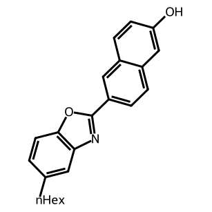 CCCCCCc1ccc2oc(-c3ccc4cc(O)ccc4c3)nc2c1